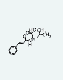 CC(C)C[C@H](NC(=O)C=Cc1ccccc1)C(=O)O